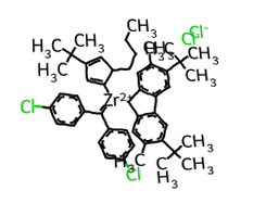 CCCCC1C=C(C(C)(C)C)C=[C]1[Zr+2](=[C](c1ccc(Cl)cc1)c1ccc(Cl)cc1)[CH]1c2cc(C)c(C(C)(C)C)cc2-c2cc(C(C)(C)C)c(C)cc21.[Cl-].[Cl-]